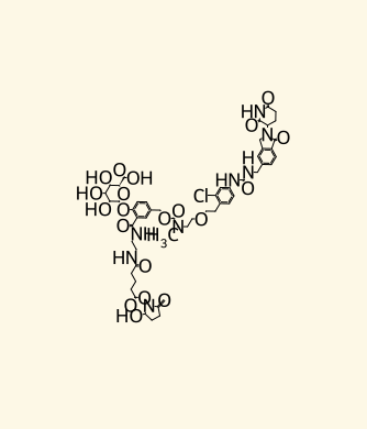 CN(CCOCCc1ccc(NC(=O)NCc2ccc3c(c2)CN(C2CCC(=O)NC2=O)C3=O)cc1Cl)C(=O)OCc1ccc(O[C@@H]2O[C@H](C(=O)O)[C@@H](O)[C@H](O)[C@H]2O)c(C(=O)NCCNC(=O)CCCC(=O)ON2C(=O)CCC2O)c1